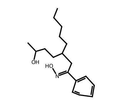 CCCCCC(CCC(C)O)CC(=NO)c1ccccc1